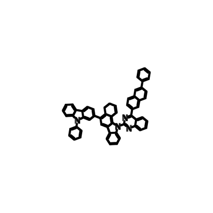 C1=Cc2c(c(-c3ccc4c5ccccc5n(-c5ccccc5)c4c3)cc3c4ccccc4n(-c4nc(-c5ccc6cc(-c7ccccc7)ccc6c5)c5ccccc5n4)c23)CC1